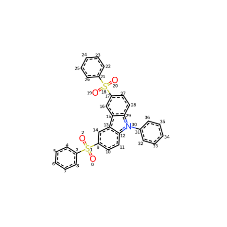 O=S(=O)(c1ccccc1)c1ccc2c(c1)c1cc(S(=O)(=O)c3ccccc3)ccc1n2-c1ccccc1